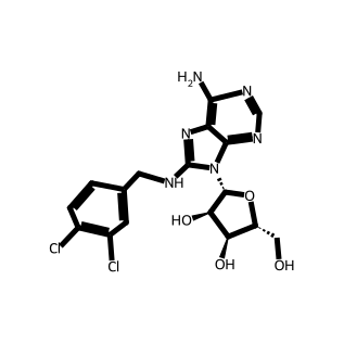 Nc1ncnc2c1nc(NCc1ccc(Cl)c(Cl)c1)n2[C@@H]1O[C@H](CO)[C@@H](O)[C@H]1O